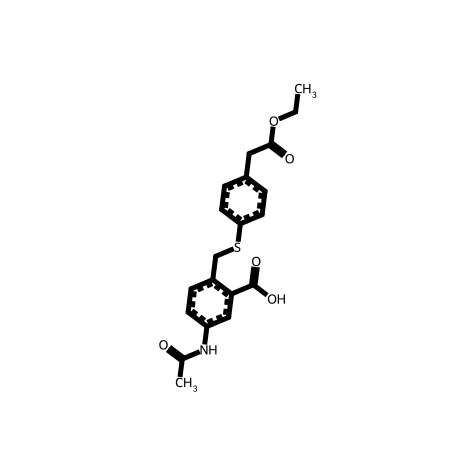 CCOC(=O)Cc1ccc(SCc2ccc(NC(C)=O)cc2C(=O)O)cc1